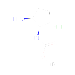 CC(C)(C)OC(=O)N[C@@H]1CCC[C@@H]1N.Cl